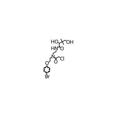 CC(C)(CO)C(O)C(=O)NCCN(CCOc1ccc(Br)cc1)C(=O)CCl